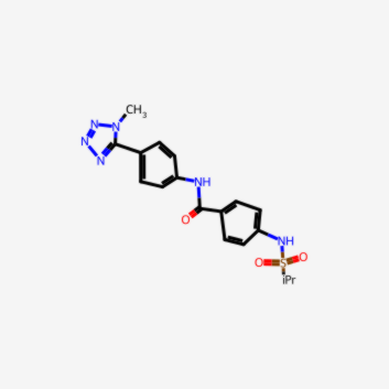 CC(C)S(=O)(=O)Nc1ccc(C(=O)Nc2ccc(-c3nnnn3C)cc2)cc1